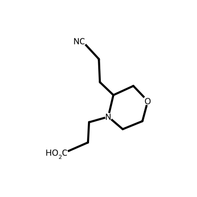 N#CCCC1COCCN1CCC(=O)O